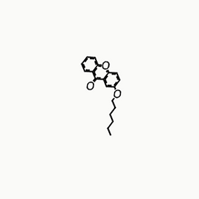 CCCCCCOc1ccc2oc3ccccc3c(=O)c2c1